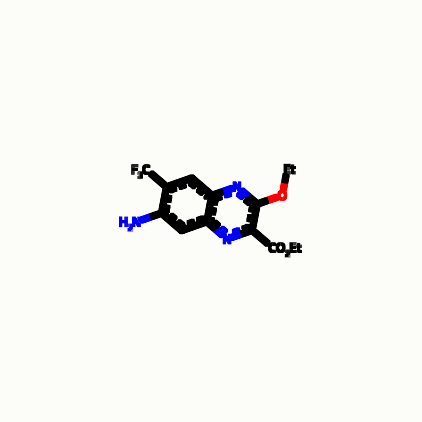 CCOC(=O)c1nc2cc(N)c(C(F)(F)F)cc2nc1OCC